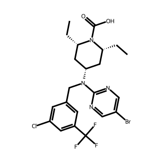 CC[C@@H]1C[C@H](N(Cc2cc(Cl)cc(C(F)(F)F)c2)c2ncc(Br)cn2)C[C@H](CC)N1C(=O)O